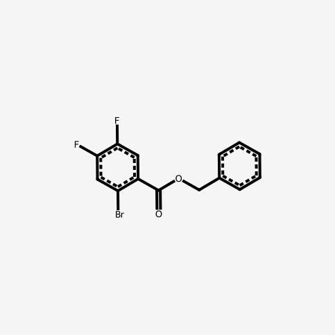 O=C(OCc1ccccc1)c1cc(F)c(F)cc1Br